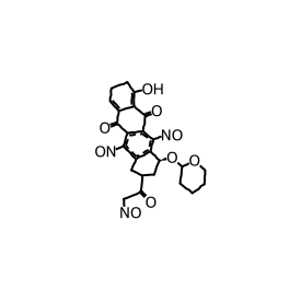 O=NCC(=O)C1Cc2c(N=O)c3c(c(N=O)c2[C@@H](OC2CCCCO2)C1)C(=O)C1=C(O)CCC=C1C3=O